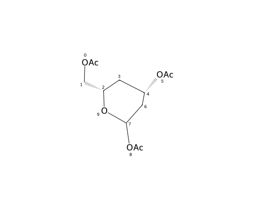 CC(=O)OC[C@@H]1C[C@H](OC(C)=O)CC(OC(C)=O)O1